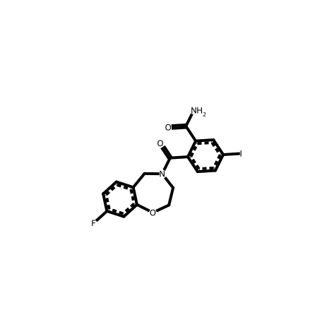 NC(=O)c1cc(I)ccc1C(=O)N1CCOc2cc(F)ccc2C1